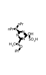 CCCN(CCC)c1ncnc(N(C)OC(C)C)n1.O=S(=O)(O)O